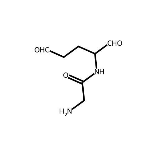 NCC(=O)NC(C=O)CCC=O